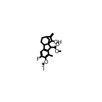 C=C1C2CCC3c4cc(F)c(OSI)c(C)c4C(C(=O)OC)C3(C2)C1O